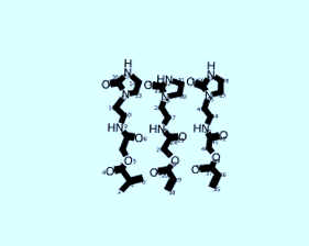 C=C(C)C(=O)OCC(=O)NCCN1CCNC1=O.C=CC(=O)OCC(=O)NCCN1CCNC1=O.C=CC(=O)OCC(=O)NCCN1CCNC1=O